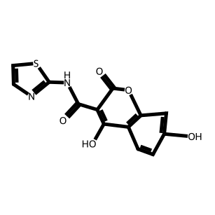 O=C(Nc1nccs1)c1c(O)c2ccc(O)cc2oc1=O